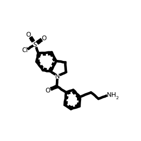 NCCc1cccc(C(=O)N2CCc3cc(S(=O)(=O)Cl)ccc32)c1